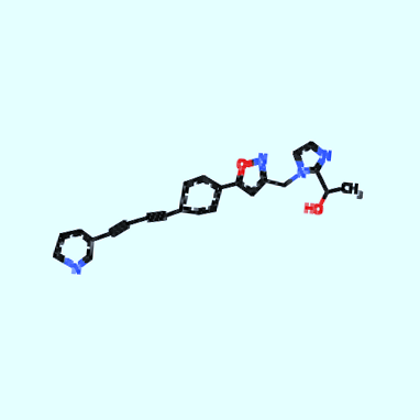 CC(O)c1nccn1Cc1cc(-c2ccc(C#CC#Cc3cccnc3)cc2)on1